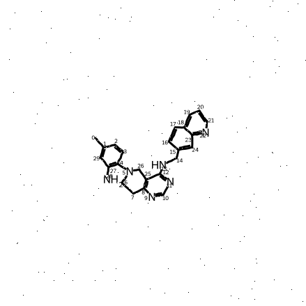 Cc1ccc(N2CCc3ncnc(NCc4ccc5cccnc5c4)c3C2)c(N)c1